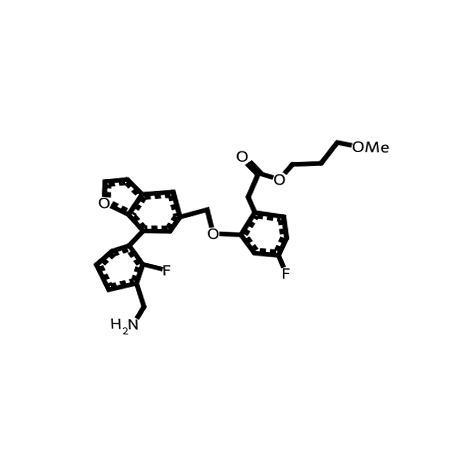 COCCCOC(=O)Cc1ccc(F)cc1OCc1cc(-c2cccc(CN)c2F)c2occc2c1